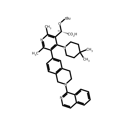 Cc1nc(C)c([C@H](OC(C)(C)C)C(=O)O)c(N2CCC(C)(C)CC2)c1-c1ccc2c(c1)CCN(c1nccc3ccccc13)C2